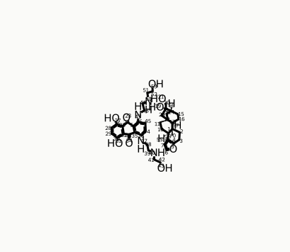 C[C@@]12CCc3occc3[C@H]1CC[C@@]13C[C@@H](CC[C@H]12)[C@@](O)(CO)C3.O=C1c2c(O)ccc(O)c2C(=O)c2c(NCCNCCO)ccc(NCCNCCO)c21